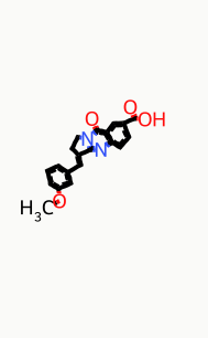 COc1cccc(/C=C2\CCn3c2nc2ccc(C(=O)O)cc2c3=O)c1